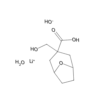 O.O=C(O)C1(CO)CC2CCC(C1)O2.[Li+].[OH-]